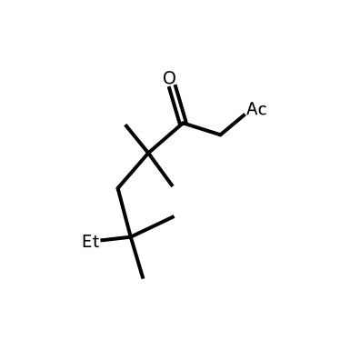 CCC(C)(C)CC(C)(C)C(=O)CC(C)=O